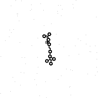 C(=C\c1ccc2c(c1)oc1cc(N(c3ccccc3)c3ccccc3)ccc12)/c1ccc(-c2ccc3c(-c4ccccc4)c(-c4ccccc4)c4ccccc4c3c2)cc1